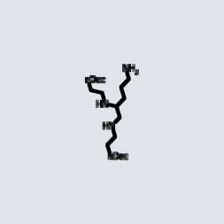 CCCCCCCCCCCCNCC(CCCN)NCCCCCCCCCCCC